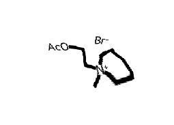 CC(=O)OCC[N+]1(C)CCCCC1.[Br-]